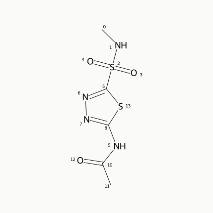 CNS(=O)(=O)c1nnc(NC(C)=O)s1